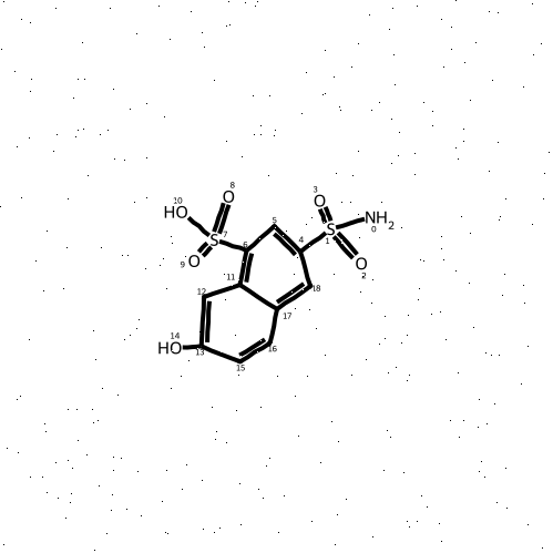 NS(=O)(=O)c1cc(S(=O)(=O)O)c2cc(O)ccc2c1